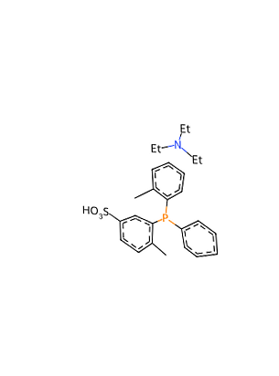 CCN(CC)CC.Cc1ccccc1P(c1ccccc1)c1cc(S(=O)(=O)O)ccc1C